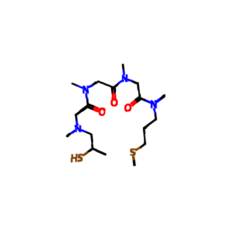 CSCCCN(C)C(=O)CN(C)C(=O)CN(C)C(=O)CN(C)CC(C)S